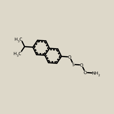 CC(C)c1ccc2cc(OSOON)ccc2c1